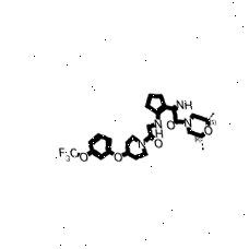 C[C@@H]1CN(C(=O)C(=N)C2=C(NCC(=O)N3CCC(Oc4cccc(OC(F)(F)F)c4)CC3)CCC2)C[C@H](C)O1